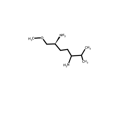 COC[C@@H](N)CCC(N)C(C)C